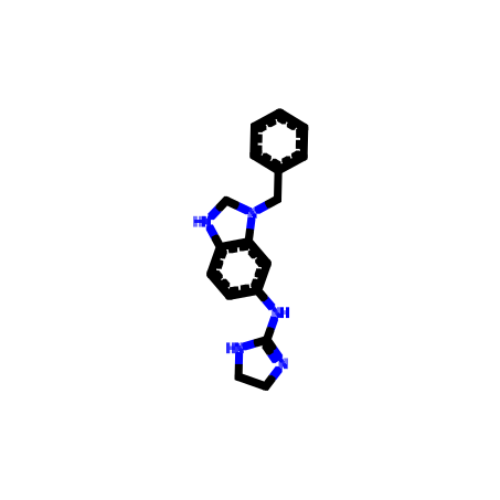 c1ccc(CN2CNc3ccc(NC4=NCCN4)cc32)cc1